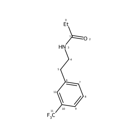 CCC(=O)NCCc1cccc(C(F)(F)F)c1